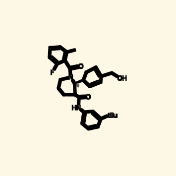 Cc1cccc(F)c1C(=O)N1CCCC(C(=O)Nc2cccc(C(C)(C)C)c2)[C@@H]1C1C=CC(CO)=CC1